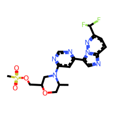 CC1COC(COS(C)(=O)=O)CN1c1cc(-c2cnc3ccc(C(F)F)nn23)ncn1